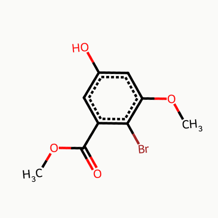 COC(=O)c1cc(O)cc(OC)c1Br